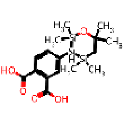 CC1(C)C[Si](C)(C)[SiH](c2ccc(C(=O)O)c(C(=O)O)c2)[Si](C)(C)O1